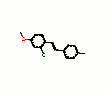 COc1ccc(C=Cc2ccc(C)cc2)c(Cl)c1